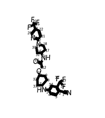 N#Cc1ccc(N[C@H]2CC[C@H](OCC(=O)NC3CCN(c4ccc(C(F)(F)F)cn4)CC3)CC2)cc1C(F)(F)F